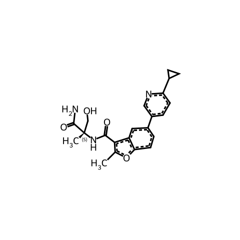 Cc1oc2ccc(-c3ccc(C4CC4)nc3)cc2c1C(=O)N[C@@](C)(CO)C(N)=O